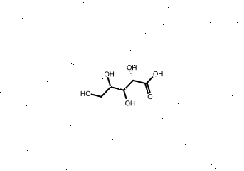 O=C(O)[C@@H](O)C(O)C(O)CO